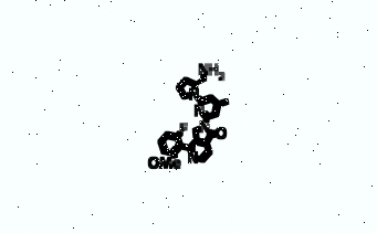 COc1cccc(F)c1-c1nccc2c1CN(c1cc(C)cc(N3CCC[C@H]3CN)n1)C2=O